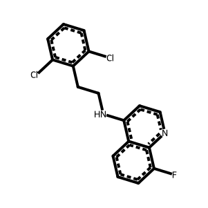 Fc1cccc2c(NCCc3c(Cl)cccc3Cl)ccnc12